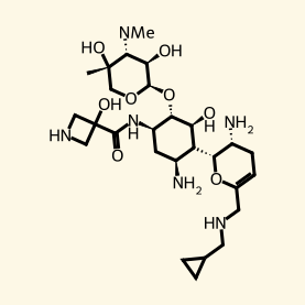 CN[C@@H]1[C@@H](O)[C@@H](O[C@H]2[C@H](NC(=O)C3(O)CNC3)C[C@H](N)C([C@H]3OC(CNCC4CC4)=CC[C@H]3N)[C@@H]2O)OC[C@]1(C)O